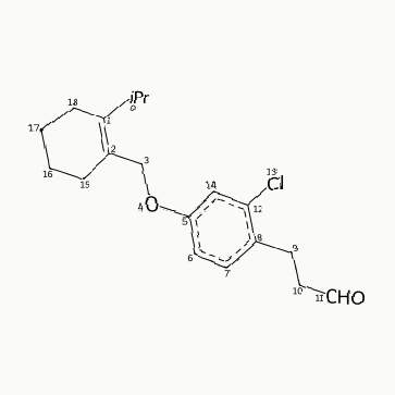 CC(C)C1=C(COc2ccc(CCC=O)c(Cl)c2)CCCC1